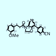 COc1cccc(CCC(=O)N2CCOc3c(-c4ccc(C#N)cc4)cncc32)c1